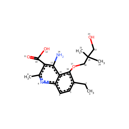 CCc1ccc2nc(C)c(C(=O)O)c(N)c2c1OCC(C)(C)CO